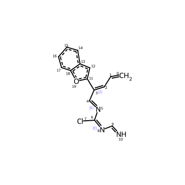 C=C/C=C(/C=N/C(Cl)=N\C=N)c1cc2ccccc2o1